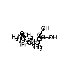 CC(C)[C@@H](Cc1ccc(OCCCO)c(OCCCO)c1)C[C@H](N)[C@@H](O)C[C@H](C(=O)NCC(C)(C)C(N)=O)C(C)C